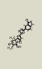 CN1C(=N)N[C@](C)(c2sc(-c3nnc(-c4ccc5c(c4)C(=O)CC5)o3)cc2Cl)C[S+]1[O-]